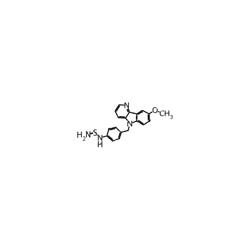 COc1ccc2c(c1)c1ncccc1n2Cc1ccc(NSN)cc1